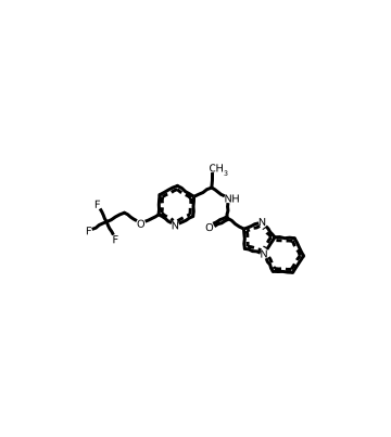 CC(NC(=O)c1cn2ccccc2n1)c1ccc(OCC(F)(F)F)nc1